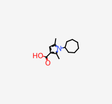 Cc1cc(C(=O)O)c(C)n1C1CCCCCC1